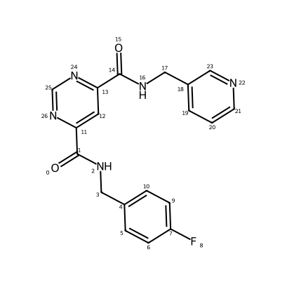 O=C(NCc1ccc(F)cc1)c1cc(C(=O)NCc2cccnc2)ncn1